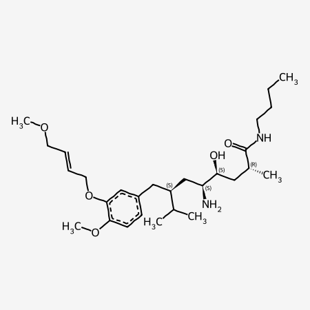 CCCCNC(=O)[C@H](C)C[C@H](O)[C@@H](N)C[C@H](Cc1ccc(OC)c(OCC=CCOC)c1)C(C)C